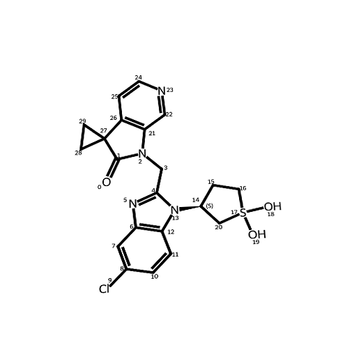 O=C1N(Cc2nc3cc(Cl)ccc3n2[C@H]2CCS(O)(O)C2)c2cnccc2C12CC2